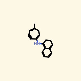 CC1=CC#CC(NC2=c3ccccc3=CCC2)=CC1